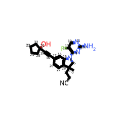 CC1(CCC#N)CN(c2nc(N)ncc2F)c2cc(C#CC3(O)CCCC3)ccc21